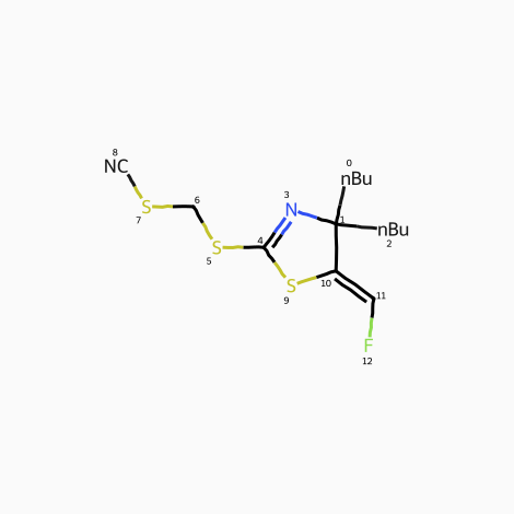 CCCCC1(CCCC)N=C(SCSC#N)SC1=CF